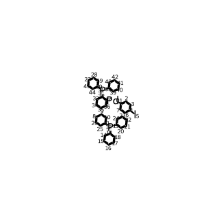 [Pd][c]1ccc(I)cc1.c1ccc(P(c2ccccc2)c2ccccc2)cc1.c1ccc(P(c2ccccc2)c2ccccc2)cc1